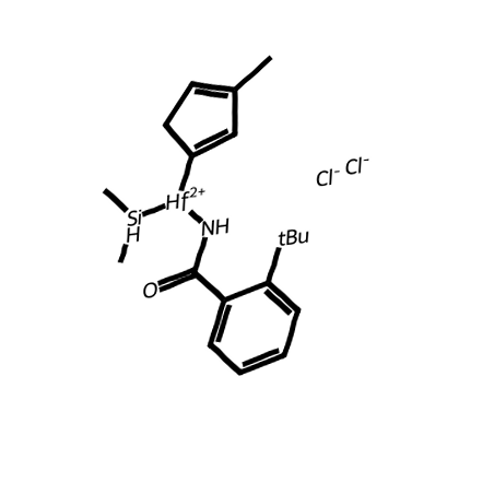 CC1=CC[C]([Hf+2]([NH]C(=O)c2ccccc2C(C)(C)C)[SiH](C)C)=C1.[Cl-].[Cl-]